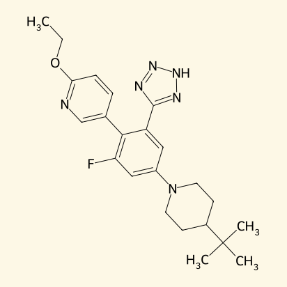 CCOc1ccc(-c2c(F)cc(N3CCC(C(C)(C)C)CC3)cc2-c2nn[nH]n2)cn1